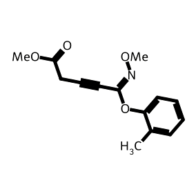 CON=C(C#CCC(=O)OC)Oc1ccccc1C